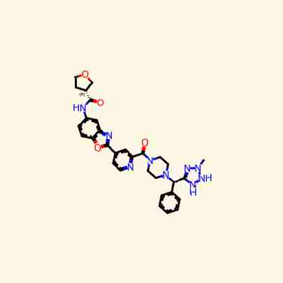 CN1N=C(C(c2ccccc2)N2CCN(C(=O)c3cc(-c4nc5cc(NC(=O)[C@@H]6CCOC6)ccc5o4)ccn3)CC2)NN1